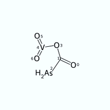 O=C([AsH2])[O][V](=[O])=[O]